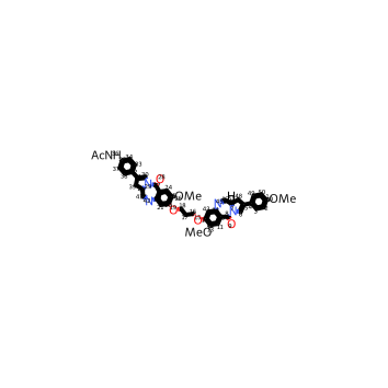 COc1ccc(C2=CN3C(=O)c4cc(OC)c(OCCCOc5cc6c(cc5OC)C(=O)N5C=C(c7ccc(NC(C)=O)cc7)CC5C=N6)cc4N=C[C@@H]3C2)cc1